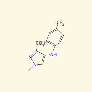 Cn1cc(Nc2ccc(C(F)(F)F)cc2)c(C(=O)O)n1